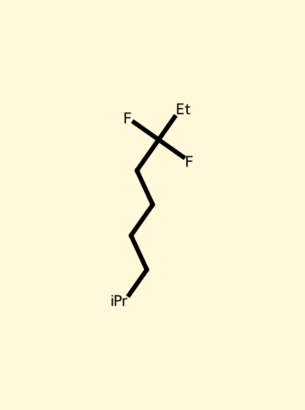 CCC(F)(F)CCCCC(C)C